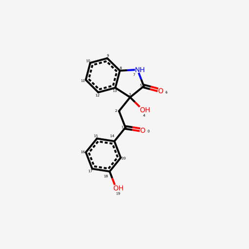 O=C(CC1(O)C(=O)Nc2ccccc21)c1cccc(O)c1